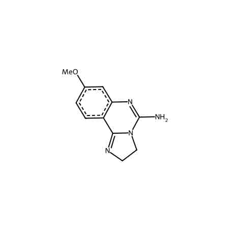 COc1ccc2c(c1)N=C(N)N1CCN=C21